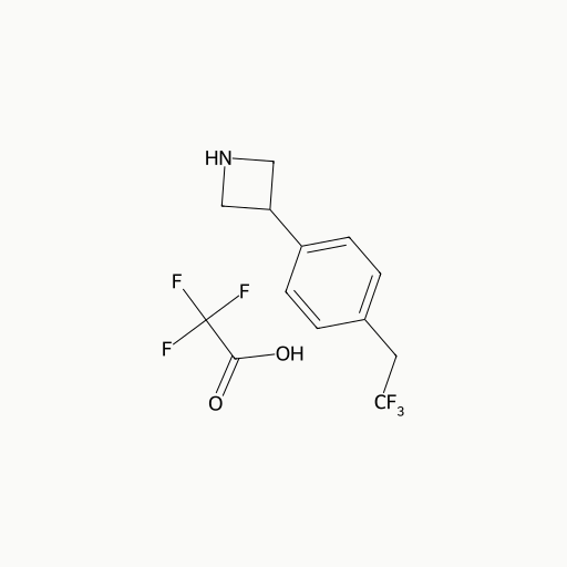 FC(F)(F)Cc1ccc(C2CNC2)cc1.O=C(O)C(F)(F)F